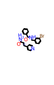 NC(=O)/C=C/c1ccncc1.O=C(NCc1cccc(Br)c1)c1ccccc1